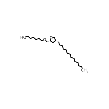 CCCCCCCCCCCCCC[C@H]1CO[C@@H](COCCCCCCO)C1